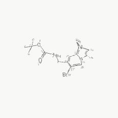 CC(C)(C)OC(=O)NCc1cc2nccn2cc1Br